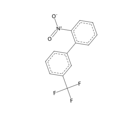 O=[N+]([O-])c1ccccc1-c1cccc(C(F)(F)F)c1